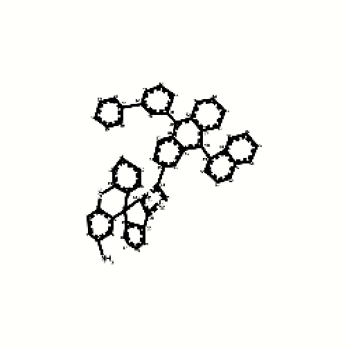 Nc1ccc2c(c1)C1(c3ccccc3S2)c2ccccc2-c2ccc(-c3ccc4c(-c5cccc(-c6ccccc6)c5)c5ccccc5c(-c5cccc6ccccc56)c4c3)cc21